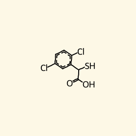 O=C(O)C(S)c1cc(Cl)ccc1Cl